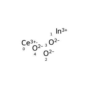 [Ce+3].[In+3].[O-2].[O-2].[O-2]